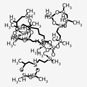 CC1C[SiH](CC[Si](C)(C)O[Si](O[SiH2]CCC[SiH]2O[SiH](C)CC(C)O[SiH](C)O2)(O[Si](C)(C)CC[SiH]2OC(C)C[SiH](C)O[SiH](C)O2)O[Si](C)(C)CC[SiH]2O[SiH](C)C[SiH](C)O[SiH](C)O2)O[SiH](C)O[SiH](C)O1